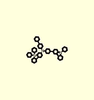 c1ccc(-c2ccc(N(c3ccc(-c4ccc5c(c4)c4ccccc4n5-c4ccccc4)cc3)c3ccc4c(c3)[Si](c3ccccc3)(c3ccccc3)c3ccccc3-4)cc2)cc1